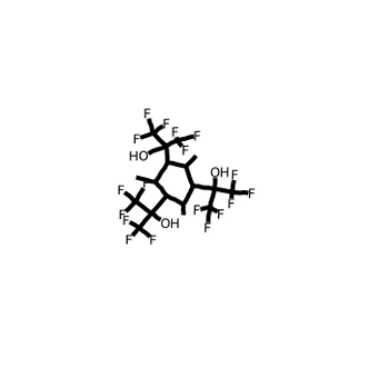 CC1C(C(O)(C(F)(F)F)C(F)(F)F)C(C)C(C(O)(C(F)(F)F)C(F)(F)F)C(C)C1C(O)(C(F)(F)F)C(F)(F)F